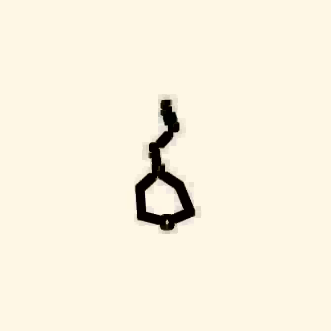 S=PSN1CCOCC1